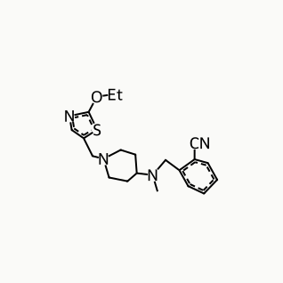 CCOc1ncc(CN2CCC(N(C)Cc3ccccc3C#N)CC2)s1